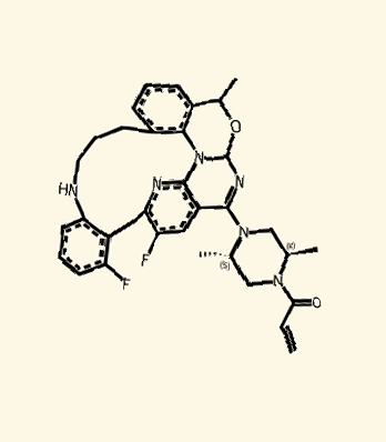 C=CC(=O)N1C[C@H](C)N(C2=NC3OC(C)c4cccc5c4N3c3nc(c(F)cc32)-c2c(F)cccc2NCCC5)C[C@H]1C